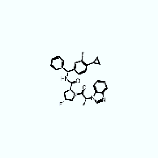 C[C@@H](C(=O)N1C[C@H](F)C[C@H]1C(=O)N[C@@H](c1ccccc1)c1ccc(C2CC2)c(F)c1)n1cnc2ccccc21